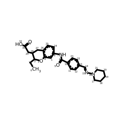 CCC1Oc2cc(NC(=O)c3ccc(C=NN4CCCCC4)cc3)ccc2CC1CC(=O)O